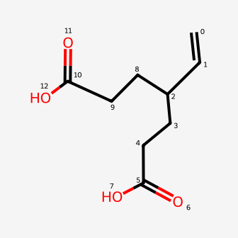 C=CC(CCC(=O)O)CCC(=O)O